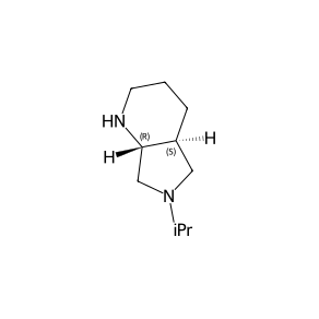 CC(C)N1C[C@@H]2CCCN[C@H]2C1